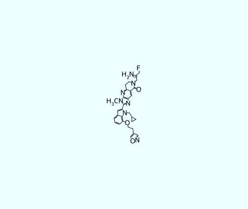 Cn1c(-c2cc3cccc(OCCc4cnoc4)c3n2CC2CC2)nc2cc3c(nc21)CCN(C[C@H](N)CF)C3=O